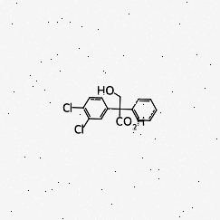 O=C(O)C(CO)(c1ccccc1)c1ccc(Cl)c(Cl)c1